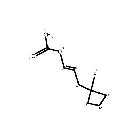 CC(=O)O/C=C/CC1(F)CCC1